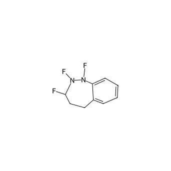 FC1CCc2ccccc2N(F)N1F